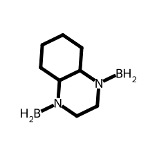 BN1CCN(B)C2CCCCC21